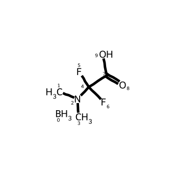 B.CN(C)C(F)(F)C(=O)O